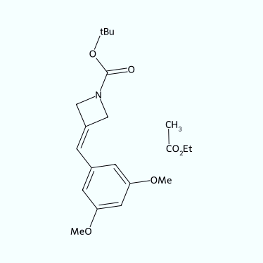 CCOC(C)=O.COc1cc(C=C2CN(C(=O)OC(C)(C)C)C2)cc(OC)c1